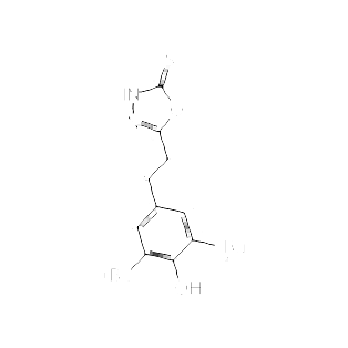 CC(C)(C)c1cc(CCc2n[nH]c(=S)o2)cc(C(C)(C)C)c1O